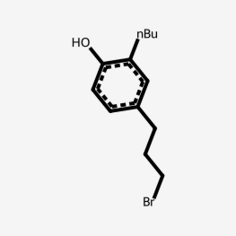 CCCCc1cc(CCCBr)ccc1O